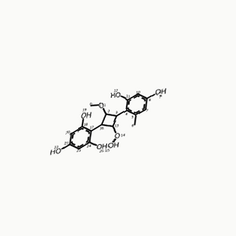 COC1C(c2c(C)cc(O)cc2O)C(OO)C1c1c(O)cc(O)cc1O